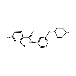 O=C(Nc1cccc(OC2CCNCC2)c1)c1ccc(F)cc1Cl